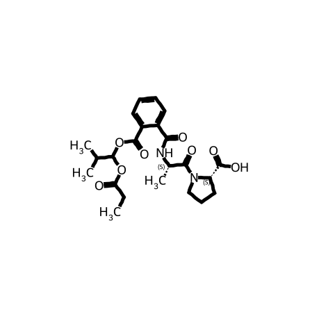 CCC(=O)OC(OC(=O)c1ccccc1C(=O)N[C@@H](C)C(=O)N1CCC[C@H]1C(=O)O)C(C)C